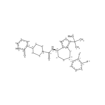 COC(C)(C)c1cnc2n1C[C@H](c1cccc(F)c1F)CC[C@H]2NC(=O)N1CCC(c2ccn[nH]c2=O)CC1